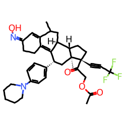 CC(=O)OCC(=O)[C@@]1(C#CC(F)(F)F)CC[C@H]2[C@@H]3CC(C)C4=CC(=NO)CCC4=C3[C@@H](c3ccc(N4CCCCC4)cc3)C[C@@]21C